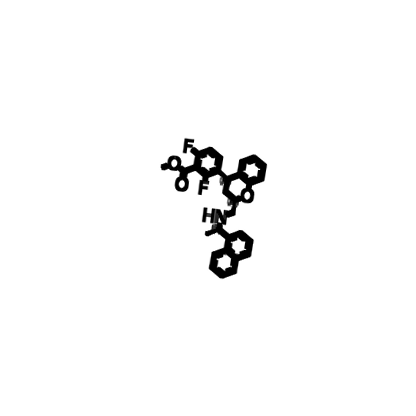 COC(=O)c1c(F)ccc([C@@H]2C[C@H](CN[C@H](C)c3cccc4ccccc34)Oc3ccccc32)c1F